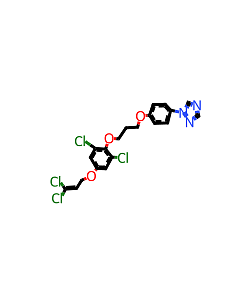 ClC(Cl)=CCOc1cc(Cl)c(OCCCOc2ccc(-n3cncn3)cc2)c(Cl)c1